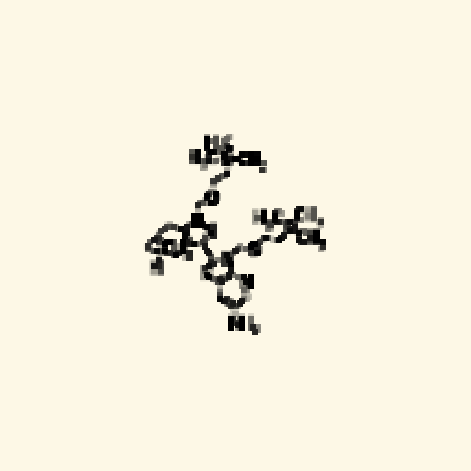 C[C@@]12Cc3c(c(-c4nc5cc(N)cnc5n4COCC[Si](C)(C)C)nn3COCC[Si](C)(C)C)C[C@@H]1C2